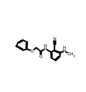 CNc1cccc(NC(=O)COc2ccccc2)c1C#N